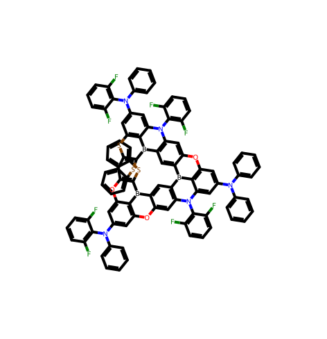 Fc1cccc(F)c1N(c1ccccc1)c1cc2c3c(c1)Oc1c(sc4ccccc14)B3c1cc3c(cc1O2)N(c1c(F)cccc1F)c1cc(N(c2ccccc2)c2ccccc2)cc2c1B3c1cc3c(cc1O2)N(c1c(F)cccc1F)c1cc(N(c2ccccc2)c2c(F)cccc2F)cc2c1B3c1sc3ccccc3c1S2